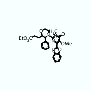 CCOC(=O)CCC1OCCN(c2nc(-c3nc4ccccc4o3)c(OC)c(=O)n2C)C1c1ccccc1